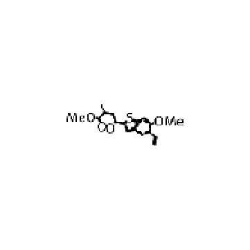 C=Cc1cc2cc(C(=O)C[C@H](C)C(=O)OC)sc2cc1OC